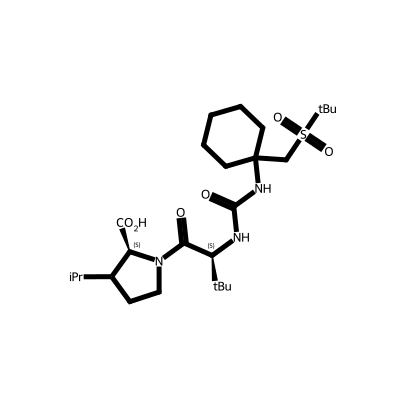 CC(C)C1CCN(C(=O)[C@@H](NC(=O)NC2(CS(=O)(=O)C(C)(C)C)CCCCC2)C(C)(C)C)[C@@H]1C(=O)O